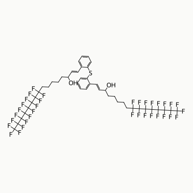 OC(C=Cc1ccccc1Sc1ccccc1C=CC(O)CCCCCC(F)(F)C(F)(F)C(F)(F)C(F)(F)C(F)(F)C(F)(F)C(F)(F)C(F)(F)F)CCCCCC(F)(F)C(F)(F)C(F)(F)C(F)(F)C(F)(F)C(F)(F)C(F)(F)C(F)(F)F